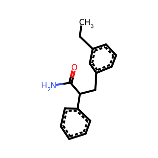 CCc1cccc(CC(C(N)=O)c2ccccc2)c1